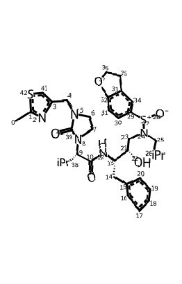 Cc1nc(CN2CCN([C@H](C(=O)N[C@@H](Cc3ccccc3)[C@@H](O)CN(CC(C)C)[S+]([O-])c3ccc4c(c3)CCO4)C(C)C)C2=O)cs1